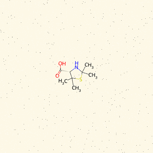 CC1(C)N[C@@H](C(=O)O)C(C)(C)S1